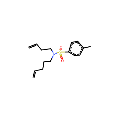 C=CCCCN(CCC=C)S(=O)(=O)c1ccc(C)cc1